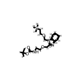 CC(C)(C)OC(=O)NCCOCc1nc2ccccc2n1COCC[Si](C)(C)C